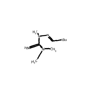 CN(C)C(=N)N(C)/N=C/C(C)(C)C